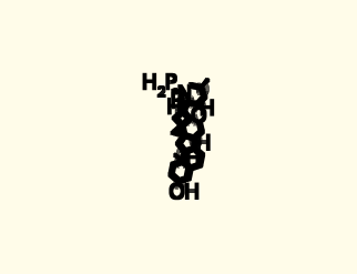 C[C@H]1C[C@H]2O[C@@]34CC[C@H]5C6CCC7=C[C@@H](O)CC[C@]7(C)[C@H]6CC56CC63C[C@@H]4[C@@H]2N(CP)C1